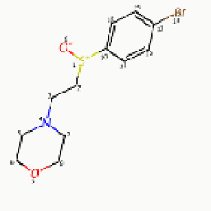 [O-][S+](CCN1CCOCC1)c1ccc(Br)cc1